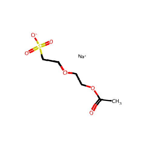 CC(=O)OCCOCCS(=O)(=O)[O-].[Na+]